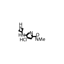 CNC(=O)c1ccc(NC2CNC2)cn1.Cl